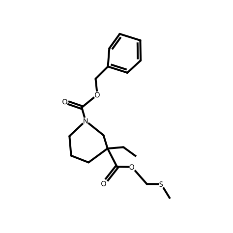 CCC1(C(=O)OCSC)CCCN(C(=O)OCc2ccccc2)C1